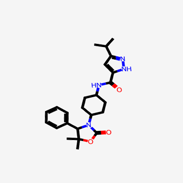 CC(C)c1cc(C(=O)NC2CCC(N3C(=O)OC(C)(C)C3c3ccccc3)CC2)[nH]n1